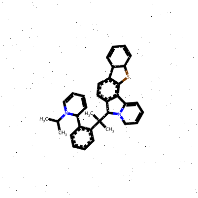 CC(C)N1C=CC=CC1c1ccccc1C(C)(C)C1c2ccc3c(c2C2=CC=CCN21)SC1C=CC=CC31